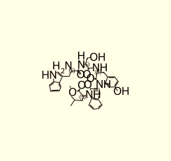 COC(=O)[C@H](CC(C)C)NC(=O)[C@@H](Cc1ccccc1)NC(=O)[C@H](Cc1ccc(O)cc1)NC(=O)[C@H](CO)NC(=O)[C@@H](N)Cc1c[nH]c2ccccc12